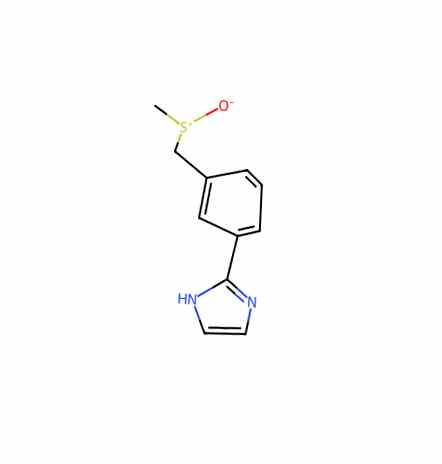 C[S+]([O-])Cc1cccc(-c2ncc[nH]2)c1